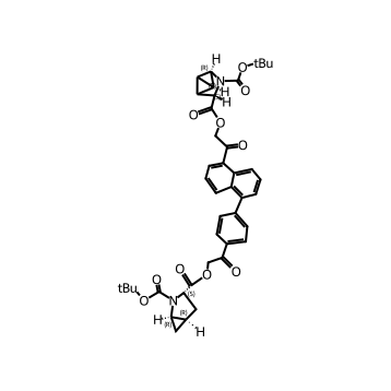 CC(C)(C)OC(=O)N1[C@H](C(=O)OCC(=O)c2cccc3c(-c4ccc(C(=O)COC(=O)[C@@H]5C[C@H]6C[C@H]6N5C(=O)OC(C)(C)C)cc4)cccc23)C2C3[C@H]2[C@@H]31